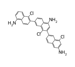 Nc1cc(Cl)c2cc(-c3cc(N)c4ccc(-c5ccc6c(N)cccc6c5Cl)cc4c3Cl)ccc2c1